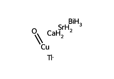 [BiH3].[CaH2].[O]=[Cu].[SrH2].[Tl]